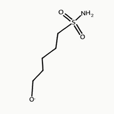 NS(=O)(=O)CCCCC[O]